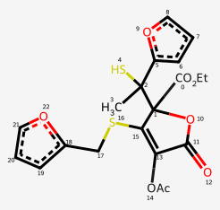 CCOC(=O)C1(C(C)(S)c2ccco2)OC(=O)C(OC(C)=O)=C1SCc1ccco1